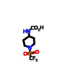 O=C(O)NC1CCN(S(=O)(=O)C(F)(F)F)CC1